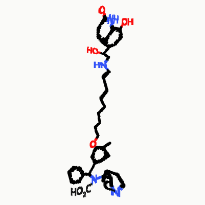 Cc1ccc(C(c2ccccc2)N(C(=O)O)C2CN3CCC2CC3)cc1OCCCCCCCCCNCC(O)c1ccc(O)c2[nH]c(=O)ccc12